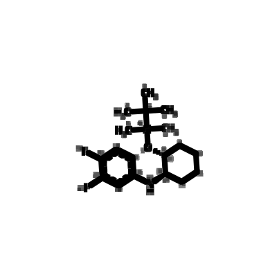 CC(C)(C)[Si](C)(C)O[C@@H]1CCCC[C@H]1Nc1ccc(F)c(F)c1